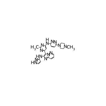 Cc1nc(Nc2ccc(N3CCN(C)CC3)nn2)cc(-c2c(Nc3cc[nH]n3)nc3cccnn23)n1